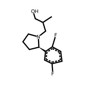 C[C](CO)CN1CCC[C@@H]1c1cc(F)ccc1F